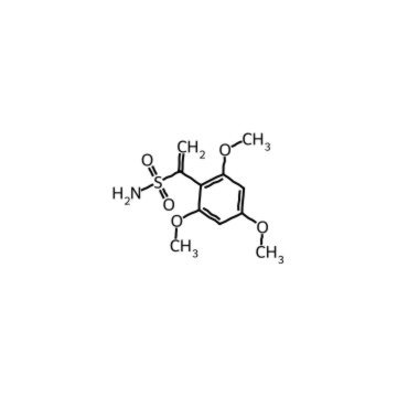 C=C(c1c(OC)cc(OC)cc1OC)S(N)(=O)=O